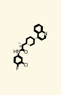 C[C@@H](C(=O)Nc1ccc(F)c(Cl)c1)[C@H]1CC[C@@H](c2ccnc3ccccc32)CC1